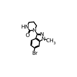 Cn1nc(N2CCCNC2=O)c2ccc(Br)cc21